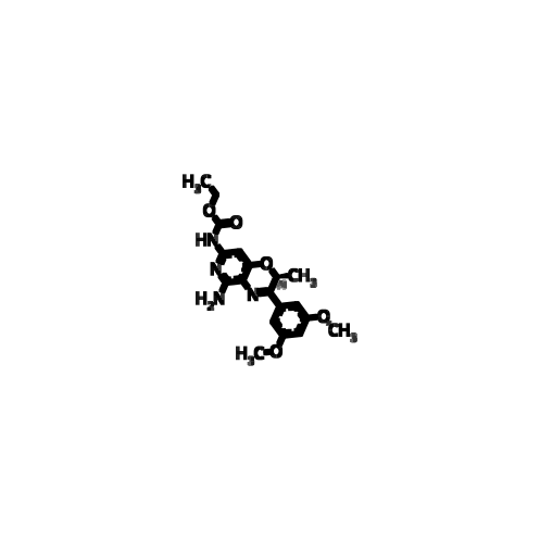 CCOC(=O)Nc1cc2c(c(N)n1)N=C(c1cc(OC)cc(OC)c1)[C@H](C)O2